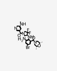 CNc1cncc(C(=O)N2C[C@H](Nc3c(N)cc(Br)cc3C(=O)N3C[C@@H](C)O[C@@H](C)C3)C(F)(F)C2)c1